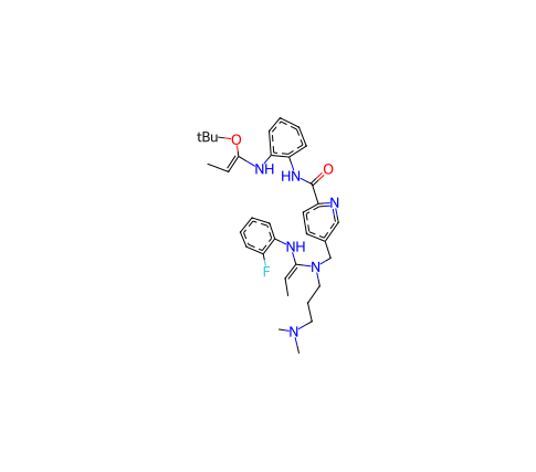 C/C=C(/Nc1ccccc1NC(=O)c1ccc(CN(CCCN(C)C)/C(=C\C)Nc2ccccc2F)cn1)OC(C)(C)C